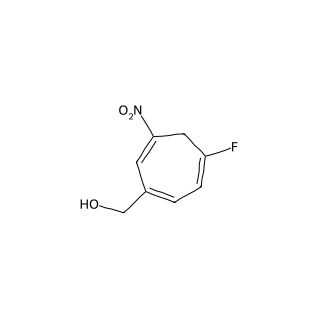 O=[N+]([O-])C1=CC(CO)=CC=C(F)C1